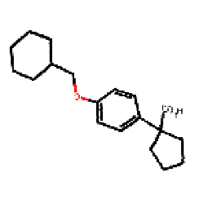 O=C(O)C1(c2ccc(OCC3CCCCC3)cc2)CCCC1